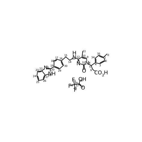 Cc1ccc(C(CC(=O)O)n2cc(C)c(NCCc3ccc(-c4nc5ccccc5[nH]4)cc3)nc2=O)cc1.O=C(O)C(F)(F)F